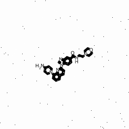 NC1CCN(c2cccc3ccc(-n4cnc5cc(C(=O)NCCN6CCOCC6)ccc54)nc23)CC1